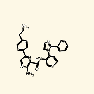 NCCc1ccc(-c2cnc(N)c(C(=O)Nc3cnccc3-n3ccnc3-c3ccccc3)n2)cc1